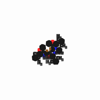 CSN1c2cc(-c3c(C)cccc3C)cc3c2B(c2ccccc2O3)c2sc3c(c21)Oc1cc(-c2c(C)cccc2C)cc2c1B3c1sc3c(c1N2SC)N(c1ccccc1)c1cc(-c2c(C)cccc2C)cc2c1B3c1ccccc1O2